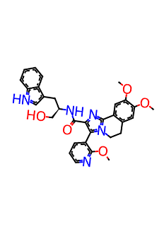 COc1cc2c(cc1OC)-c1nc(C(=O)N[C@@H](CO)Cc3c[nH]c4ccccc34)c(-c3cccnc3OC)n1CC2